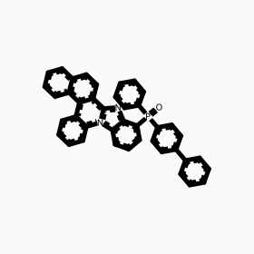 O=P(c1ccccc1)(c1ccc(-c2ccccc2)cc1)c1cccc2c1nc1c3ccc4ccccc4c3c3ccccc3n21